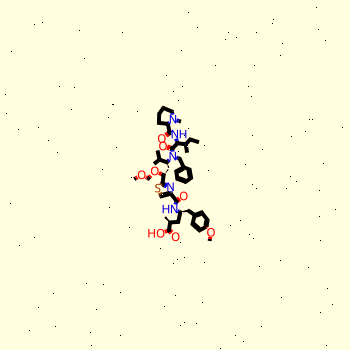 CCC(C)C(NC(=O)C1CCCCN1C)C(=O)N(Cc1ccccc1)[C@H](C[C@@H](OCOC)c1nc(C(=O)N[C@@H](Cc2ccc(OC)cc2)C[C@H](C)C(=O)O)cs1)C(C)C